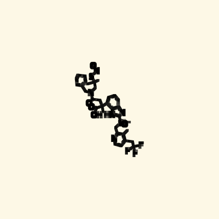 Cc1c(CC(F)(F)F)ccnc1C[S+]([O-])c1nc2cccc(C(C)(CC(=O)N(Cc3ccccc3)CC(C)(C)SN=O)C(=O)O)c2[nH]1